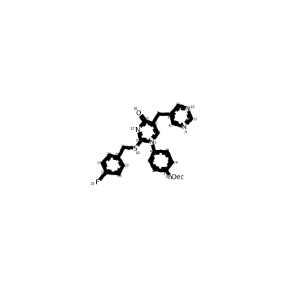 CCCCCCCCCCc1ccc(-n2cc(Cc3cncnc3)c(=O)nc2SCc2ccc(F)cc2)cc1